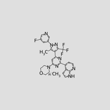 Cc1c(-c2cc(N3CCOC[C@H]3C)nc(-c3ccnc4[nH]ccc34)n2)c(C(F)(F)F)nn1-c1cncc(F)c1